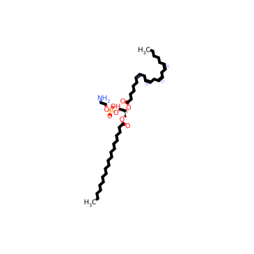 CCCCC/C=C\C/C=C\C/C=C\C/C=C\CCCCCC(=O)O[C@H](COC(=O)CCCCCCCCCCCCCCCCCCC)COP(=O)(O)OCCN